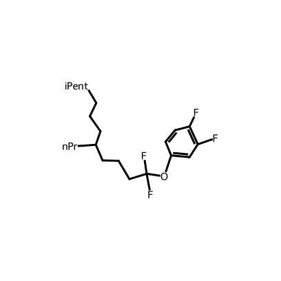 CCCC(C)CCCC(CCC)CCCC(F)(F)Oc1ccc(F)c(F)c1